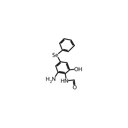 Nc1cc([Se]c2ccccc2)cc(O)c1NC=O